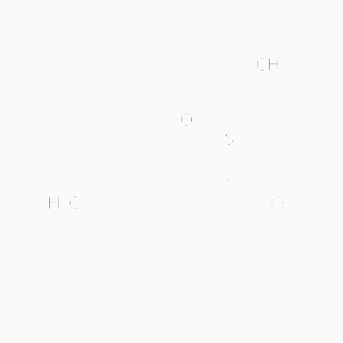 CC[S+]([O-])C(=O)c1cccc(C)c1